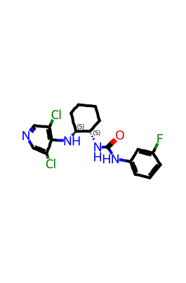 O=C(Nc1cccc(F)c1)N[C@H]1CCCC[C@@H]1Nc1c(Cl)cncc1Cl